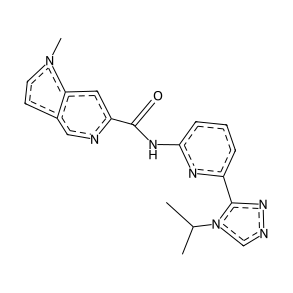 CC(C)n1cnnc1-c1cccc(NC(=O)c2cc3c(ccn3C)cn2)n1